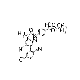 CC(C(=O)Nc1ccc(C(=O)OC(C)(C)C)cc1)n1cc(C#N)c(-c2cc(Cl)ccc2C#N)cc1=O